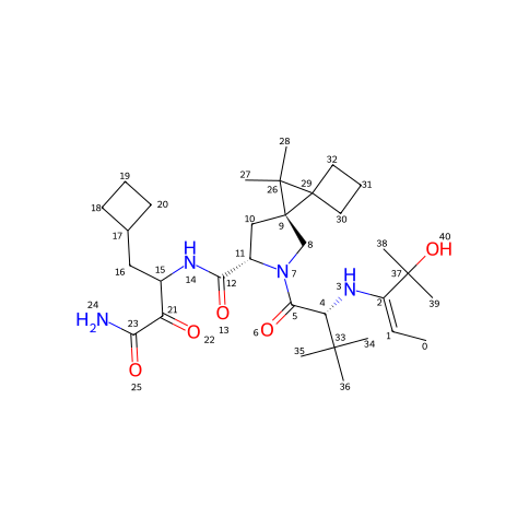 CC=C(N[C@@H](C(=O)N1C[C@@]2(C[C@H]1C(=O)NC(CC1CCC1)C(=O)C(N)=O)C(C)(C)C21CCC1)C(C)(C)C)C(C)(C)O